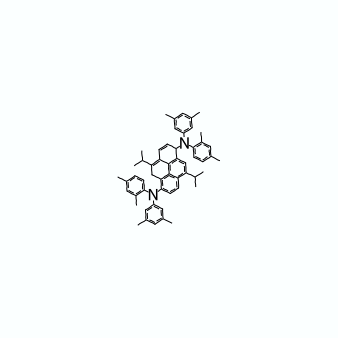 Cc1cc(C)cc(N(c2ccc(C)cc2C)c2ccc3c(C(C)C)cc4c5c3c2CC(C(C)C)=C5C=CC4N(c2cc(C)cc(C)c2)c2ccc(C)cc2C)c1